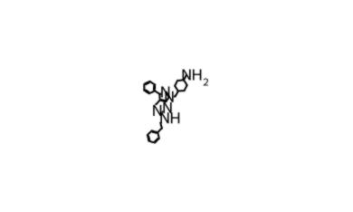 NC1CCC(Cn2nc(-c3ccccc3)c3cnc(NCCc4ccccc4)nc32)CC1